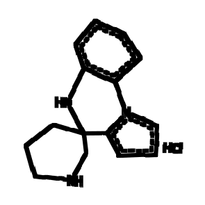 Cl.c1ccc2c(c1)NC1(CCCNC1)c1cccn1-2